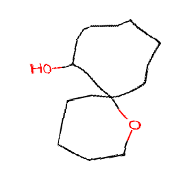 OC1CCCCC12CCCCO2